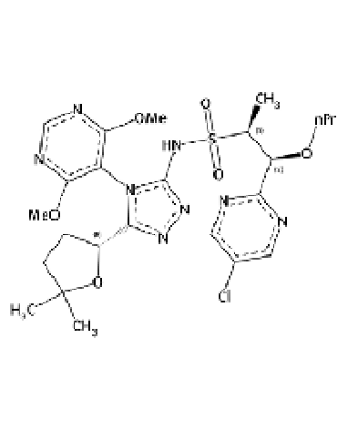 CCCO[C@@H](c1ncc(Cl)cn1)[C@H](C)S(=O)(=O)Nc1nnc([C@H]2CCC(C)(C)O2)n1-c1c(OC)ncnc1OC